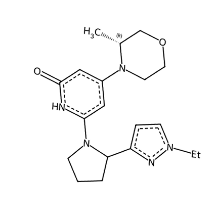 CCn1ccc(C2CCCN2c2cc(N3CCOC[C@H]3C)cc(=O)[nH]2)n1